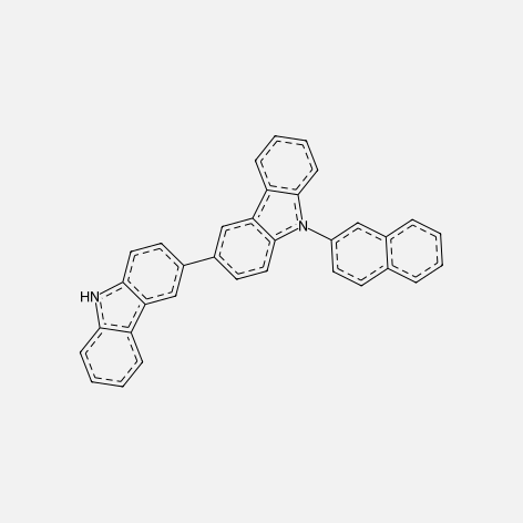 c1ccc2cc(-n3c4ccccc4c4cc(-c5ccc6[nH]c7ccccc7c6c5)ccc43)ccc2c1